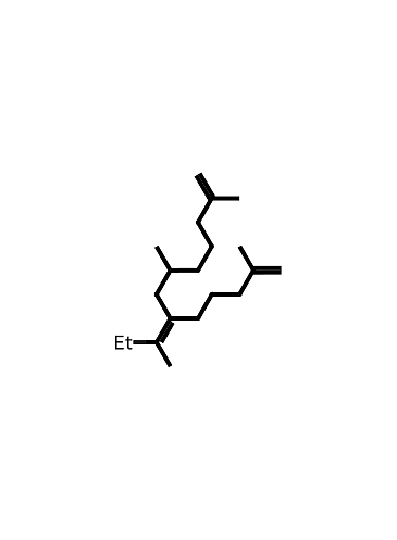 C=C(C)CCCC(CC(C)CCCC(=C)C)=C(C)CC